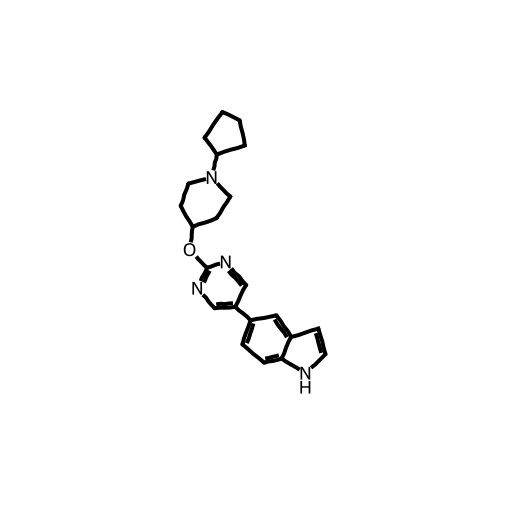 c1cc2cc(-c3cnc(OC4CCN(C5CCCC5)CC4)nc3)ccc2[nH]1